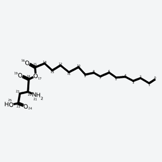 CCCCCCCCCCCCCCCC(=O)OC(=O)C(N)CC(=O)O